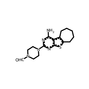 Nc1nc(N2CCN(C=O)CC2)nc2sc3c(c12)CCCCC3